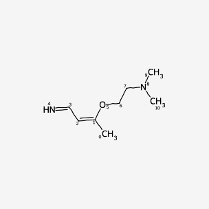 C/C(=C/C=N)OCCN(C)C